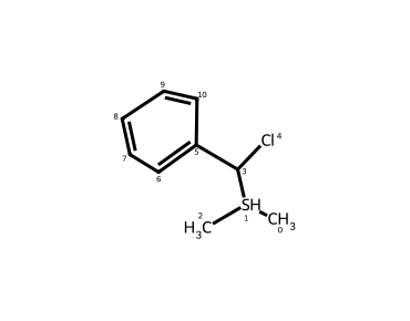 C[SH](C)C(Cl)c1ccccc1